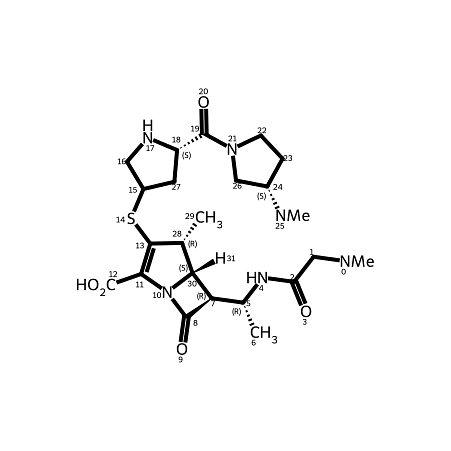 CNCC(=O)N[C@H](C)[C@H]1C(=O)N2C(C(=O)O)=C(SC3CN[C@H](C(=O)N4CC[C@H](NC)C4)C3)[C@H](C)[C@H]12